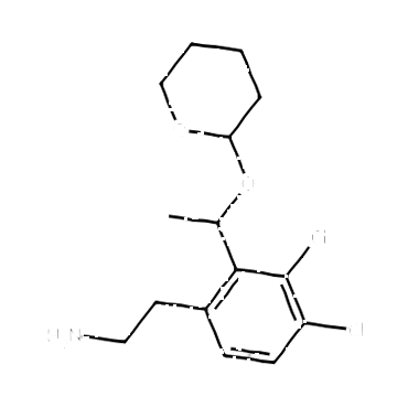 CC(OC1CCCCO1)c1c(CCN)ccc(Cl)c1Cl